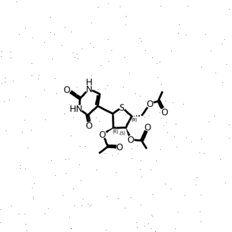 CC(=O)OC[C@H]1SC(c2c[nH]c(=O)[nH]c2=O)[C@H](OC(C)=O)[C@@H]1OC(C)=O